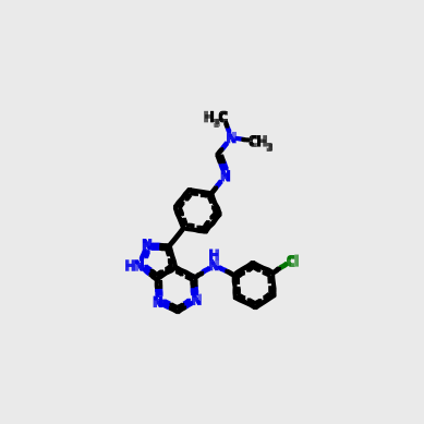 CN(C)/C=N/c1ccc(-c2n[nH]c3ncnc(Nc4cccc(Cl)c4)c23)cc1